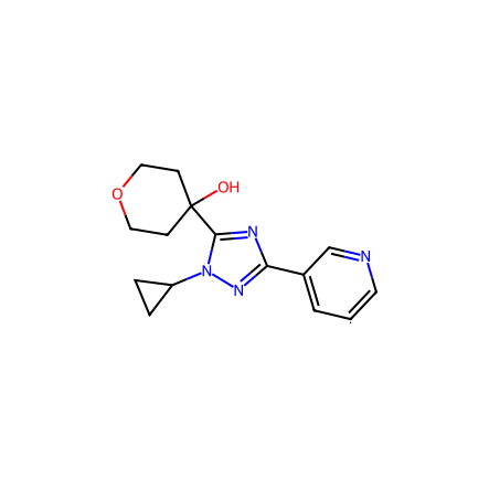 OC1(c2nc(-c3c[c]cnc3)nn2C2CC2)CCOCC1